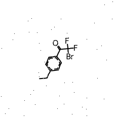 CCc1ccc(C(=O)C(F)(F)Br)cc1